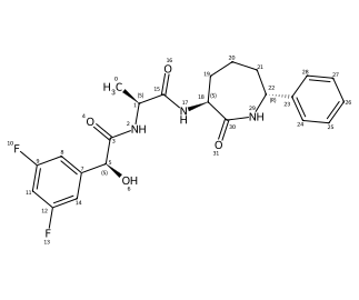 C[C@H](NC(=O)[C@@H](O)c1cc(F)cc(F)c1)C(=O)N[C@H]1CCC[C@H](c2ccccc2)NC1=O